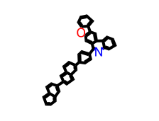 c1ccc2cc(-c3ccc4cc(-c5ccc(-c6nc7ccccc7c7cc8c(cc67)oc6ccccc68)cc5)ccc4c3)ccc2c1